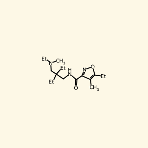 CCc1onc(C(=O)NCC(CC)(CC)CN(C)CC)c1C